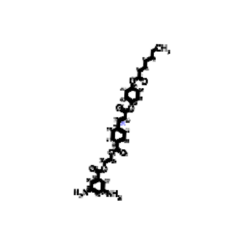 CCCCCCC(=O)Oc1ccc(OC(=O)/C=C/c2ccc(C(=O)OCCOC(=O)c3cc(N)cc(N)c3)cc2)cc1